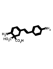 NC1=CC=C(C=Cc2ccc(N)cc2)CC1(C(=O)O)C(=O)O